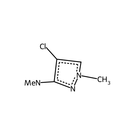 CNc1nn(C)cc1Cl